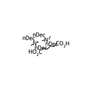 CCCCCCCCCC[N+](C)(C)CCCCCCCCCC.CCCCCCCCCC[N+](C)(C)CCCCCCCCCC.O=C(O)CCCCC(=O)O